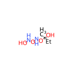 CC[C@](C)(O)ONONO